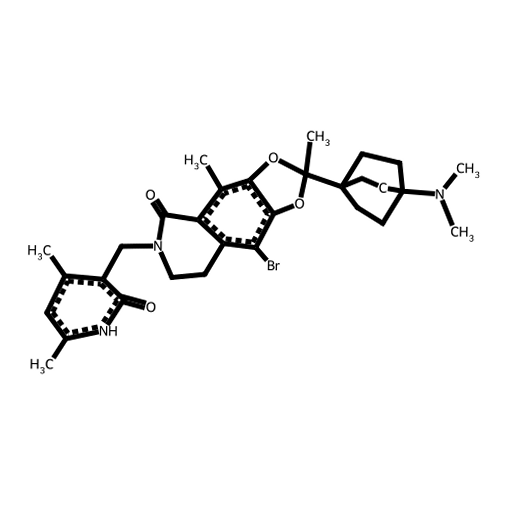 Cc1cc(C)c(CN2CCc3c(Br)c4c(c(C)c3C2=O)OC(C)(C23CCC(N(C)C)(CC2)CC3)O4)c(=O)[nH]1